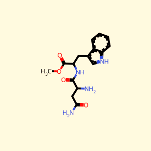 COC(=O)C(Cc1c[nH]c2ccccc12)NC(=O)C(N)CC(N)=O